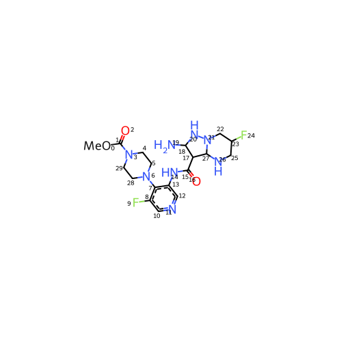 COC(=O)N1CCN(c2c(F)cncc2NC(=O)C2C(N)NN3CC(F)CNC23)CC1